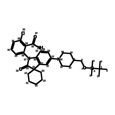 CC(C)(C)[Si](C)(C)OCC1CCN(c2ccc3c(c2)C2(CCCCC2)C(=O)N3c2cccc(Cl)c2C(N)=O)CC1